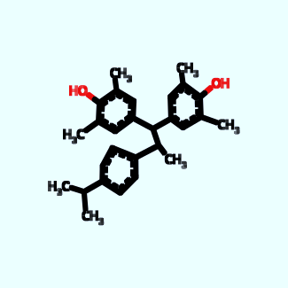 Cc1cc(C(c2cc(C)c(O)c(C)c2)C(C)c2ccc(C(C)C)cc2)cc(C)c1O